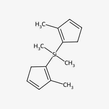 CC1=C([Si](C)(C)C2=C(C)C=CC2)CC=C1